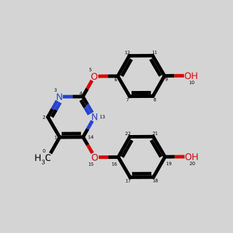 Cc1cnc(Oc2ccc(O)cc2)nc1Oc1ccc(O)cc1